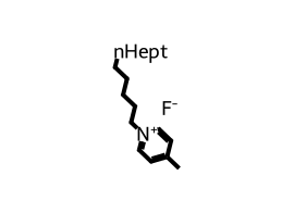 CCCCCCCCCCCC[n+]1ccc(C)cc1.[F-]